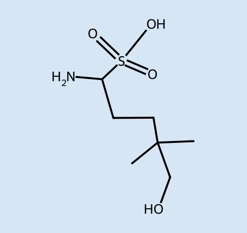 CC(C)(CO)CCC(N)S(=O)(=O)O